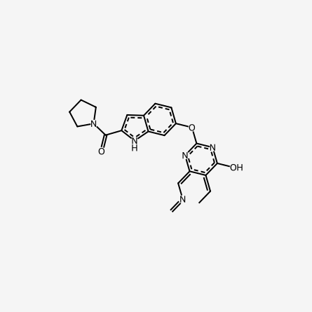 C=N/C=c1/nc(Oc2ccc3cc(C(=O)N4CCCC4)[nH]c3c2)nc(O)/c1=C/C